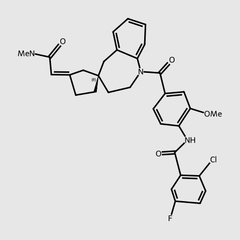 CNC(=O)C=C1CC[C@@]2(CCN(C(=O)c3ccc(NC(=O)c4cc(F)ccc4Cl)c(OC)c3)c3ccccc3C2)C1